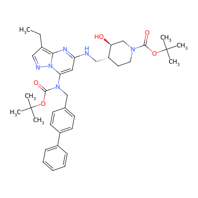 CCc1cnn2c(N(Cc3ccc(-c4ccccc4)cc3)C(=O)OC(C)(C)C)cc(NC[C@H]3CCN(C(=O)OC(C)(C)C)C[C@@H]3O)nc12